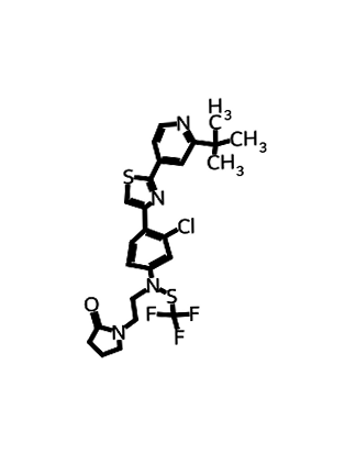 CC(C)(C)c1cc(-c2nc(-c3ccc(N(CCN4CCCC4=O)SC(F)(F)F)cc3Cl)cs2)ccn1